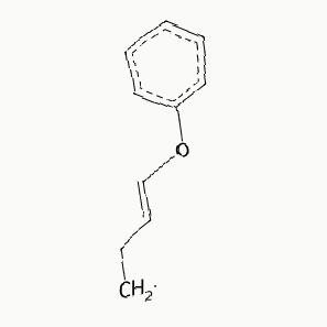 [CH2]CC=COc1ccccc1